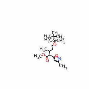 COC(=O)C(c1cc(C)no1)C(C)CCO[Si](C)(C)C(C)(C)C